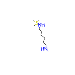 CNCCCCCCNS(C)(C)C